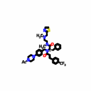 CC(=O)N1CCN(c2ccc(CN(C(=O)C=Cc3ccc(C(F)(F)F)cc3)[C@@H](Cc3ccccc3)C(=O)N(C)CCN(C)Cc3nccs3)cc2)CC1